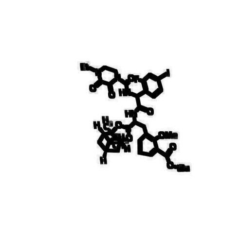 CCN1CCN(C(=O)NC(C(=O)NC(Cc2cccc(C(=O)OC(C)(C)C)c2OC)B2O[C@@H]3C[C@@H]4C[C@@H](C4(C)C)[C@]3(C)O2)c2ccc(I)cc2F)C(=O)C1=O